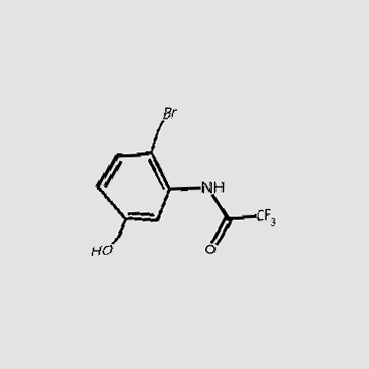 O=C(Nc1cc(O)ccc1Br)C(F)(F)F